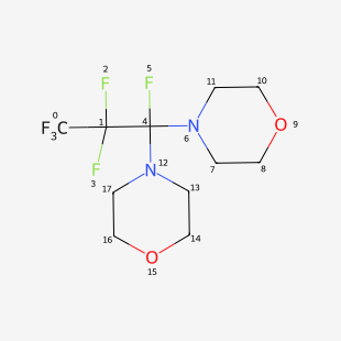 FC(F)(F)C(F)(F)C(F)(N1CCOCC1)N1CCOCC1